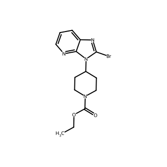 CCOC(=O)N1CCC(n2c(Br)nc3cccnc32)CC1